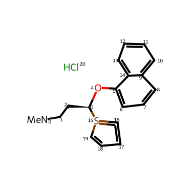 CNC[CH][C@@H](Oc1cccc2ccccc12)S1=C=CC=C1.Cl